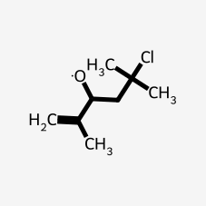 C=C(C)C([O])CC(C)(C)Cl